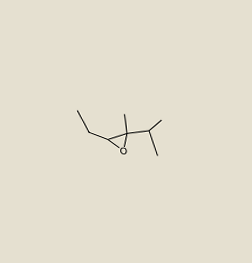 CCC1OC1(C)C(C)C